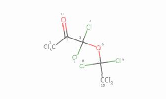 O=C(C(Cl)(Cl)Cl)C(Cl)(Cl)OC(Cl)(Cl)C(Cl)(Cl)Cl